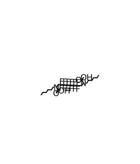 CCCCCCN(CC(F)(F)C(F)(F)C(F)(F)C(F)(F)C(F)(F)C(F)(F)CN(CCCCCC)C(=O)O)C(=O)O